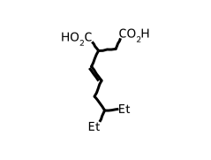 CCC(CC)CC=CC(CC(=O)O)C(=O)O